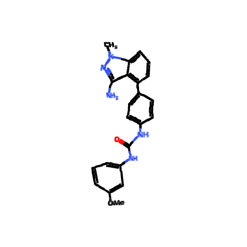 COc1cccc(NC(=O)Nc2ccc(-c3cccc4c3c(N)nn4C)cc2)c1